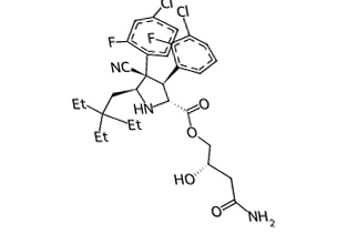 CCC(CC)(CC)C[C@@H]1N[C@@H](C(=O)OC[C@@H](O)CC(N)=O)[C@H](c2cccc(Cl)c2F)[C@@]1(C#N)c1ccc(Cl)cc1F